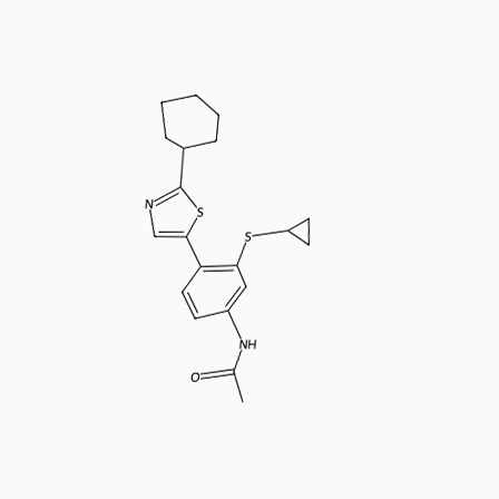 CC(=O)Nc1ccc(-c2cnc(C3CCCCC3)s2)c(SC2CC2)c1